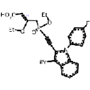 CCO/C(=C\C(=O)O)CP(=O)(C#Cc1c(C(C)C)c2ccccc2n1-c1ccc(F)cc1)OCC